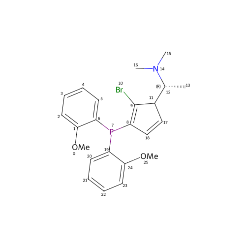 COc1ccccc1P(C1=C(Br)C([C@@H](C)N(C)C)C=C1)c1ccccc1OC